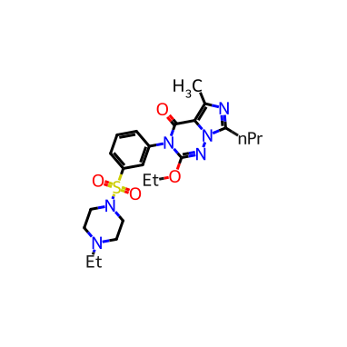 CCCc1nc(C)c2c(=O)n(-c3cccc(S(=O)(=O)N4CCN(CC)CC4)c3)c(OCC)nn12